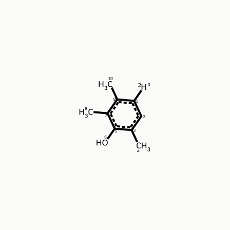 [2H]c1cc(C)c(O)c(C)c1C